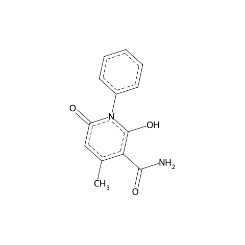 Cc1cc(=O)n(-c2ccccc2)c(O)c1C(N)=O